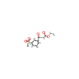 CCOC(=O)CC(=O)c1cccc(S(=O)(=O)F)c1